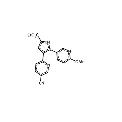 CCOC(=O)c1cc(-c2ccc(C#N)cn2)n(-c2ccc(OC)nc2)n1